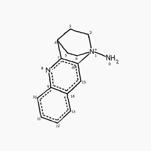 N[N+]12CCC(CC1)c1nc3ccccc3cc12